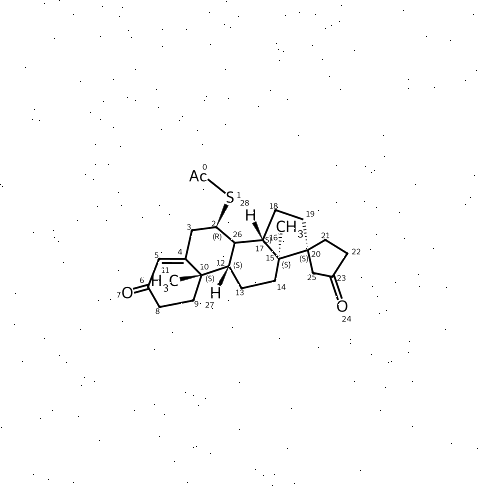 CC(=O)S[C@@H]1CC2=CC(=O)CC[C@@]2(C)[C@H]2CC[C@@]3(C)[C@@H](CC[C@@]34CCC(=O)C4)C12